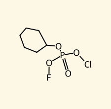 O=P(OF)(OCl)OC1CCCCC1